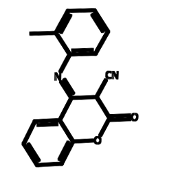 Cc1ccccc1N=C1c2ccccc2OC(=O)C1C#N